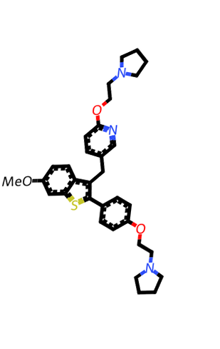 COc1ccc2c(Cc3ccc(OCCN4CCCC4)nc3)c(-c3ccc(OCCN4CCCC4)cc3)sc2c1